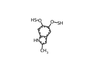 Cc1cc2cc(OS)c(OS)cc2[nH]1